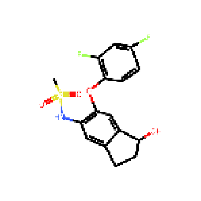 CS(=O)(=O)Nc1cc2c(cc1Oc1ccc(F)cc1F)C(O)CC2